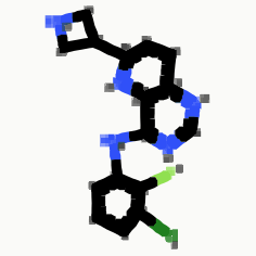 Fc1c(Cl)cccc1Nc1ncnc2ccc(C3CNC3)nc12